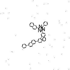 c1ccc(-c2ccc3cc(-c4ccc5oc6ccc(-c7nc(-c8ccccc8)nc(-c8ccc9ccccc9c8)n7)cc6c5c4)ccc3c2)cc1